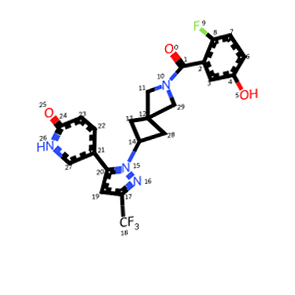 O=C(c1cc(O)ccc1F)N1CC2(CC(n3nc(C(F)(F)F)cc3-c3ccc(=O)[nH]c3)C2)C1